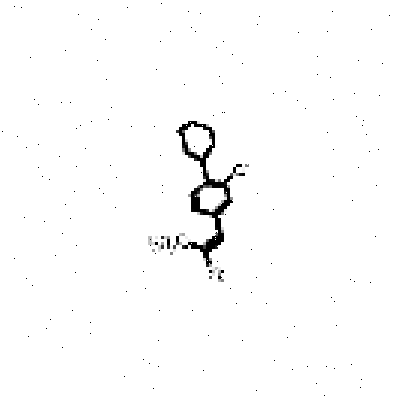 CCC(=Cc1ccc(C2CCCCC2)c(Cl)c1)C(=O)O